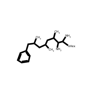 CCCCCCC(N)C(N)C(C)CC(C)CC(C)Cc1ccccc1